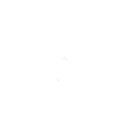 FC1(F)CNCCC1n1cccc1